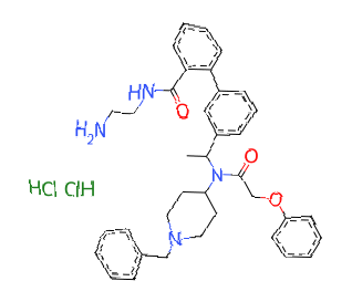 CC(c1cccc(-c2ccccc2C(=O)NCCN)c1)N(C(=O)COc1ccccc1)C1CCN(Cc2ccccc2)CC1.Cl.Cl